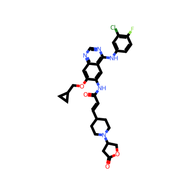 O=C(C=CC1CCN(C2COC(=O)C2)CC1)Nc1cc2c(Nc3ccc(F)c(Cl)c3)ncnc2cc1OCC1CC1